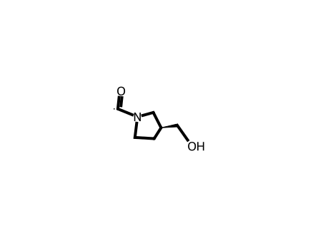 O=[C]N1CC[C@H](CO)C1